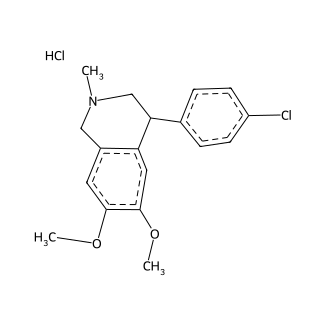 COc1cc2c(cc1OC)C(c1ccc(Cl)cc1)CN(C)C2.Cl